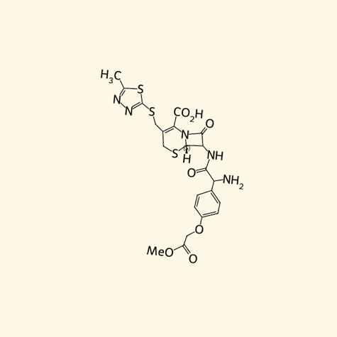 COC(=O)COc1ccc(C(N)C(=O)NC2C(=O)N3C(C(=O)O)=C(CSc4nnc(C)s4)CS[C@@H]23)cc1